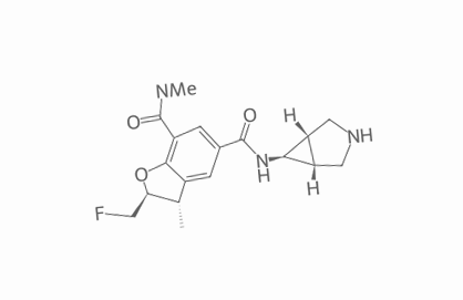 CNC(=O)c1cc(C(=O)N[C@H]2[C@@H]3CNC[C@@H]32)cc2c1O[C@H](CF)[C@H]2C